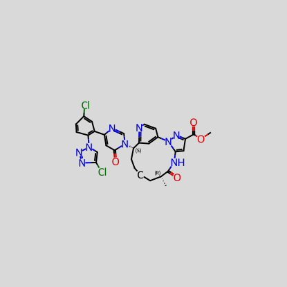 COC(=O)c1cc2n(n1)-c1ccnc(c1)[C@@H](n1cnc(-c3cc(Cl)ccc3-n3cc(Cl)nn3)cc1=O)CCCC[C@@H](C)C(=O)N2